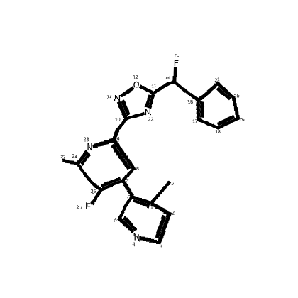 Cc1ccncc1-c1cc(-c2noc(C(F)c3ccccc3)n2)nc(C)c1F